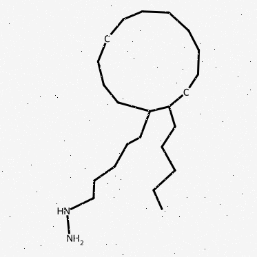 CCCCCC1CCCCCCCCCCCC1CCCCCNN